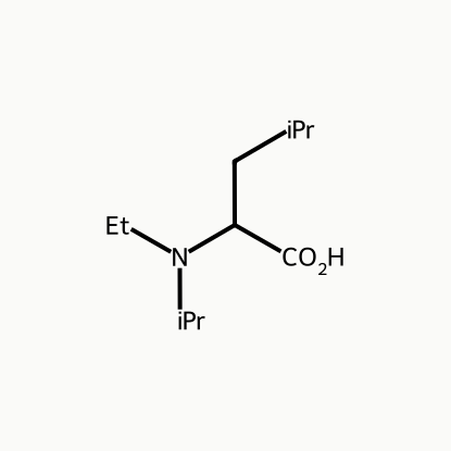 CCN(C(C)C)C(CC(C)C)C(=O)O